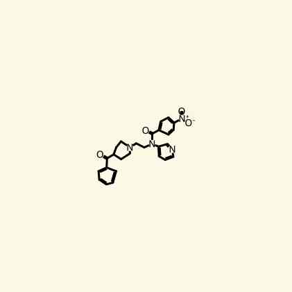 O=C(c1ccccc1)C1CCN(CCN(C(=O)c2ccc([N+](=O)[O-])cc2)c2cccnc2)CC1